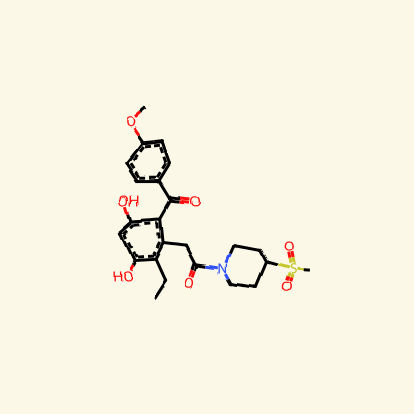 CCc1c(O)cc(O)c(C(=O)c2ccc(OC)cc2)c1CC(=O)N1CCC(S(C)(=O)=O)CC1